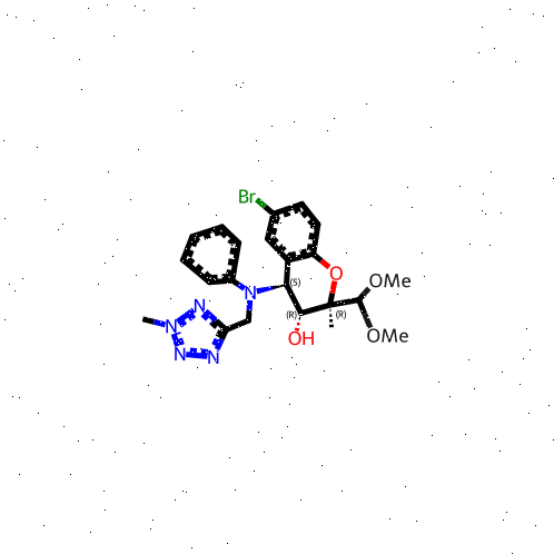 COC(OC)[C@]1(C)Oc2ccc(Br)cc2[C@H](N(Cc2nnn(C)n2)c2ccccc2)[C@H]1O